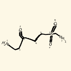 NCC(=O)CCS(N)(=O)=O